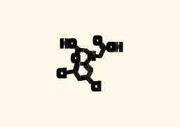 O=C(O)CN(CC(=O)O)c1cc(Cl)cc(Cl)c1